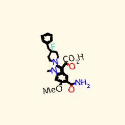 COc1cc2c(cc1C(N)=O)c(C(=O)C(=O)O)c(N1CCC(F)(Cc3ccccc3)CC1)n2C